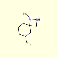 CN1CCCC2(CNN2S)C1